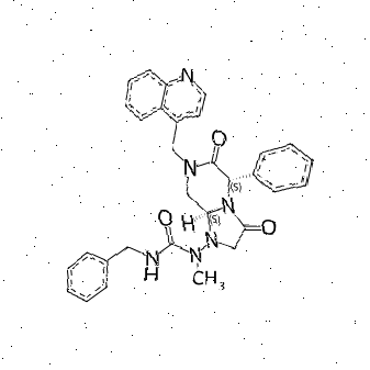 CN(C(=O)NCc1ccccc1)N1CC(=O)N2[C@@H](c3ccccc3)C(=O)N(Cc3ccnc4ccccc34)C[C@@H]21